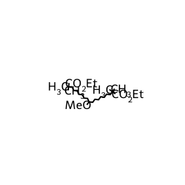 CCOC(=O)C(C)(C)CCCCCCCC(CCCCCCCC(C)(C)C(=O)OCC)OC